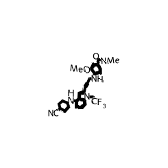 CNC(=O)c1ccc(NCC#Cc2cc3c(NC4CCC(C#N)CC4)cccc3n2CC(F)(F)F)c(OC)c1